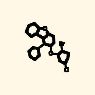 Clc1ccc(Br)c(Oc2ccc3oc4ccccc4c3c2-c2ccccc2)c1